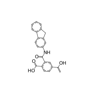 C=C(O)c1ccc(C(=O)O)c(C(=O)Nc2ccc3c(c2)Cc2ccccc2-3)c1